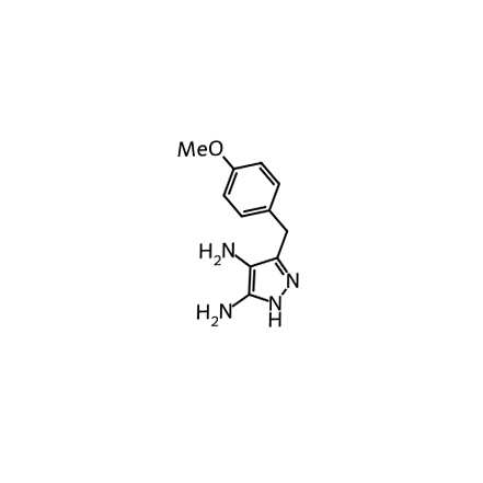 COc1ccc(Cc2n[nH]c(N)c2N)cc1